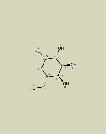 OC[C@@H]1S[C@H](O)[C@H](O)[C@@H](O)[C@H]1O